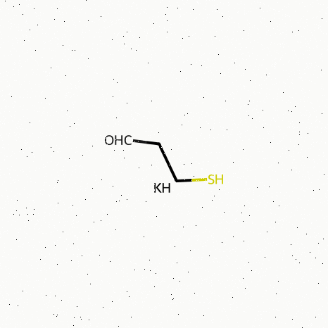 O=CCCS.[KH]